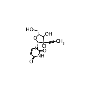 CC#C[C@@]1(Cl)C(O)[C@@H](CO)O[C@H]1n1ccc(=O)[nH]c1=O